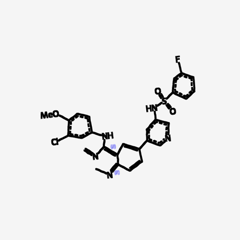 C=N/C(Nc1ccc(OC)c(Cl)c1)=C1/C=C(c2cncc(NS(=O)(=O)c3cccc(F)c3)c2)C=C/C1=N/C